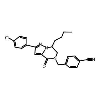 CCCCC1CN(Cc2ccc(C#N)cc2)C(=O)c2cc(-c3ccc(Cl)cc3)nn21